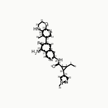 CCC1C(C(=O)Nc2cc3cc(-c4cnc5c(c4C)NCCO5)c(F)c(N)c3cn2)C1c1cnn(C)c1